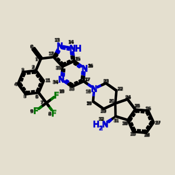 C=C(c1cccc(C(F)(F)F)c1)c1n[nH]c2nc(N3CCC4(CC3)Cc3ccccc3[C@H]4N)cnc12